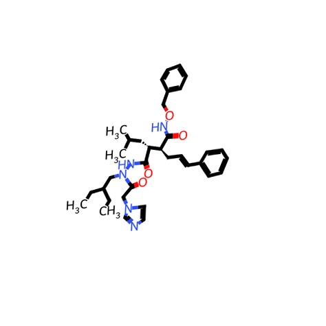 CCC(CC)CN(NC(=O)[C@H](CC(C)C)[C@H](CC=Cc1ccccc1)C(=O)NOCc1ccccc1)C(=O)Cn1ccnc1